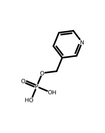 O=P(O)(O)OCc1cccnc1